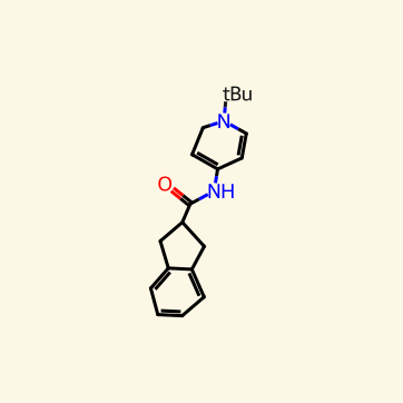 CC(C)(C)N1C=CC(NC(=O)C2Cc3ccccc3C2)=CC1